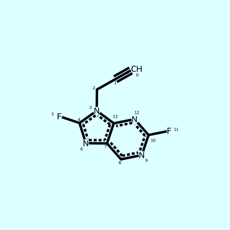 C#CCn1c(F)nc2cnc(F)nc21